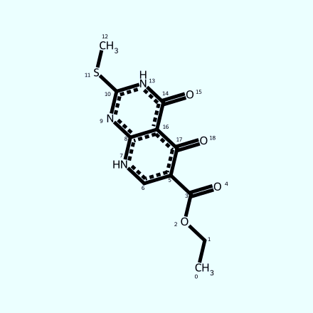 CCOC(=O)c1c[nH]c2nc(SC)[nH]c(=O)c2c1=O